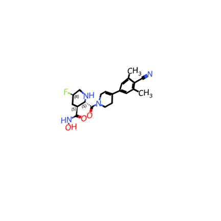 Cc1cc(C2=CCN(C(=O)[C@H]3NC[C@H](F)C[C@@H]3C(=O)NO)CC2)cc(C)c1C#N